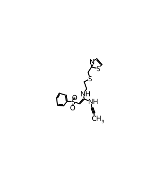 CC#CN/C(=C/S(=O)(=O)c1ccccc1)NCCSCc1nccs1